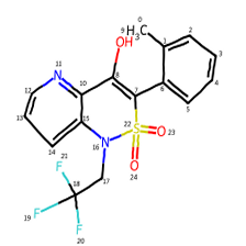 Cc1ccccc1C1=C(O)c2ncccc2N(CC(F)(F)F)S1(=O)=O